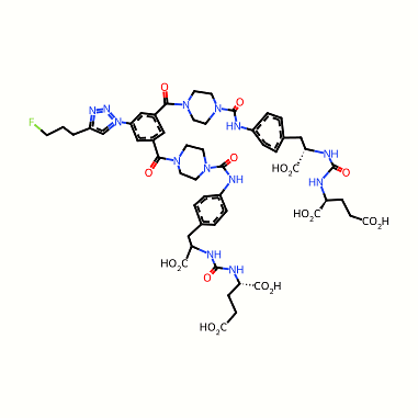 O=C(O)CC[C@H](NC(=O)NC(Cc1ccc(NC(=O)N2CCN(C(=O)c3cc(C(=O)N4CCN(C(=O)Nc5ccc(C[C@H](NC(=O)N[C@@H](CCC(=O)O)C(=O)O)C(=O)O)cc5)CC4)cc(-n4cc(CCCF)nn4)c3)CC2)cc1)C(=O)O)C(=O)O